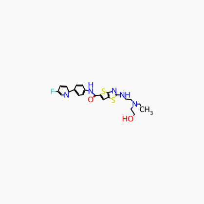 CCN(CCO)CCNc1nc2sc(C(=O)Nc3ccc(-c4ccc(F)cn4)cc3)cc2s1